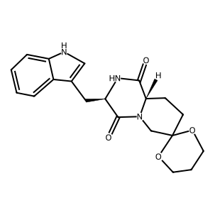 O=C1N[C@H](Cc2c[nH]c3ccccc23)C(=O)N2CC3(CC[C@@H]12)OCCCO3